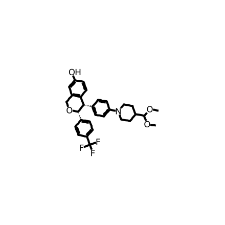 COC(OC)C1CCN(c2ccc([C@H]3c4ccc(O)cc4CO[C@H]3c3ccc(C(F)(F)F)cc3)cc2)CC1